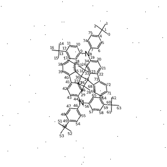 CC(C)(C)c1ccc(N(c2ccc(C(C)(C)C)cc2)c2ccc3c(c2)C(C(C)(C)C)(C2(C(C)(C)C)c4ccccc4-c4ccc(N(c5ccc(C(C)(C)C)cc5)c5ccc(C(C)(C)C)cc5)cc42)c2ccccc2-3)cc1